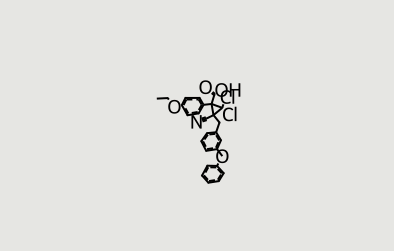 CCOc1ccc(C2(C(=O)O)C(Cl)(Cl)C2(C#N)Cc2cccc(Oc3ccccc3)c2)cc1